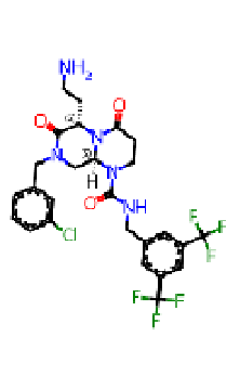 NCC[C@H]1C(=O)N(Cc2cccc(Cl)c2)C[C@@H]2N(C(=O)NCc3cc(C(F)(F)F)cc(C(F)(F)F)c3)CCC(=O)N21